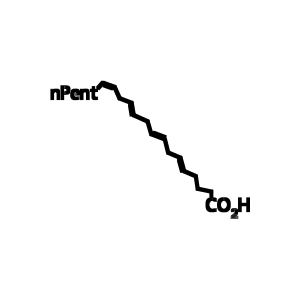 CCCCC/C=C\CC=CCC=CCC=CCCCC(=O)O